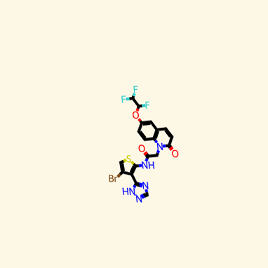 O=C(Cn1c(=O)ccc2cc(OC(F)C(F)F)ccc21)Nc1scc(Br)c1-c1ncn[nH]1